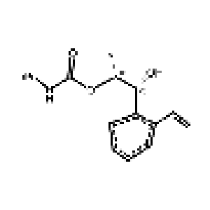 C=Cc1ccccc1[C@@H](O)[C@@H](C)OC(=O)NCCC